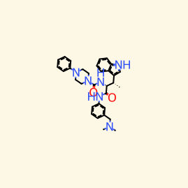 C[C@@H](c1c[nH]c2ccccc12)[C@@H](NC(=O)N1CCN(c2ccccc2)CC1)C(=O)Nc1cccc(CN(C)C)c1